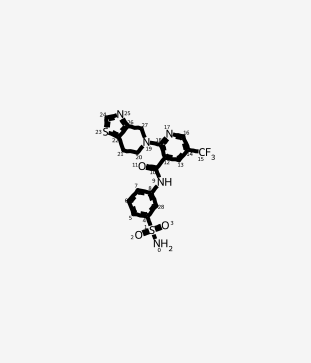 NS(=O)(=O)c1cccc(NC(=O)c2cc(C(F)(F)F)cnc2N2CCc3scnc3C2)c1